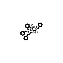 CC(C)C[C@H](NC(CCc1ccccc1)P(=O)(OCc1ccccc1)OCc1ccccc1)C(=O)OCc1ccccc1